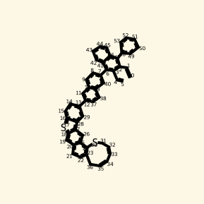 C=Cc1c(C=C)c(-c2ccc3cc(-c4ccc5sc6cc7ccc8c(c7cc6c5c4)SC/C=C\C=C/C8)ccc3c2)c2ccccc2c1-c1ccccc1